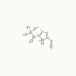 O=Cc1ccc(C(=O)C(F)(F)F)[nH]1